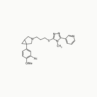 COc1ccc(C23CC2CN(CCCSc2nnc(-c4cccnc4)n2C)C3)cc1C(C)=O